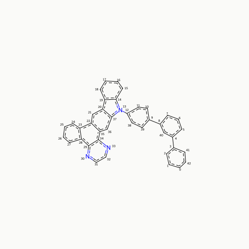 c1ccc(-c2cccc(-c3ccc(-n4c5ccccc5c5cc6c7ccccc7c7nccnc7c6cc54)cc3)c2)cc1